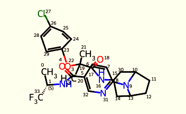 C[C@H](NC(=O)c1ccc(N2C3CCC2CC(NC(=O)C(C)(C)Oc2ccc(Cl)cc2)C3)nc1)C(F)(F)F